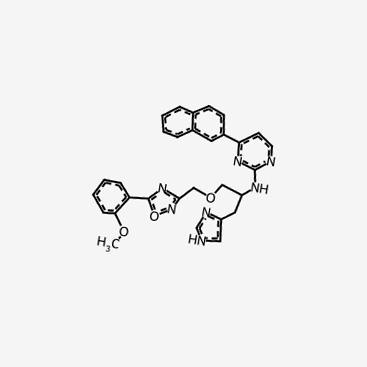 COc1ccccc1-c1nc(COCC(Cc2c[nH]cn2)Nc2nccc(-c3ccc4ccccc4c3)n2)no1